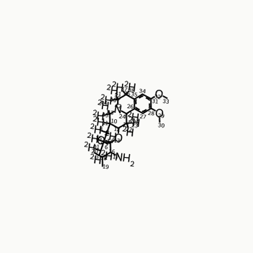 [2H]C([2H])([2H])C([2H])(C)C([2H])([2H])C1([2H])C(OC(=O)[C@@H](N)C(C)C)C([2H])([2H])C2([2H])c3cc(OC)c(OC)cc3C([2H])([2H])C([2H])([2H])N2C1([2H])[2H]